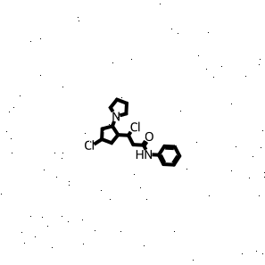 O=C(CC(Cl)C1CC(Cl)CC1N1CCCC1)Nc1ccccc1